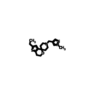 CCc1cc2c(s1)CCOC21CCN(Cc2cnn(C)c2)CC1